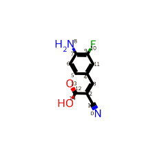 N#CC(=Cc1ccc(N)c(F)c1)C(=O)O